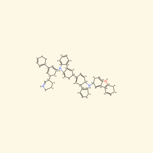 C1=CCCC(C2=CC(C3C=NCCC3)CC(n3c4c(c5ccccc53)=CC(C3=CC5C6=C(CCC=C6)N(C6C=c7c8c(oc7=CC6)CCC=C8)C5C=C3)CC=4)=C2)=C1